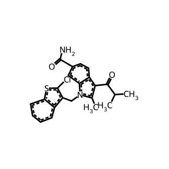 Cc1c(C(=O)C(C)C)c2ccc(C(N)=O)cc2n1Cc1c(Cl)sc2ccccc12